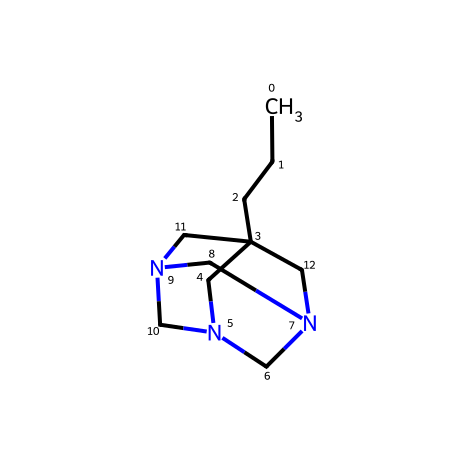 CCCC12CN3CN(CN(C3)C1)C2